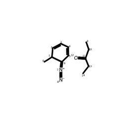 CC1C=CC=CC1=[N+]=[N-].CCC(=O)CC